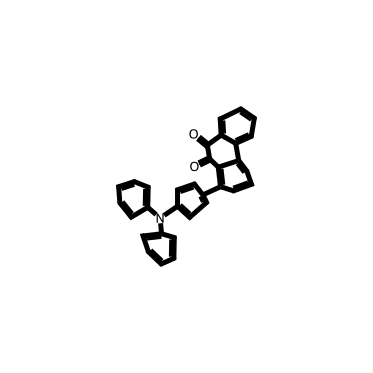 O=C1C(=O)c2c(-c3ccc(N(c4ccccc4)c4ccccc4)cc3)cccc2-c2ccccc21